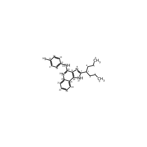 CCCC(CCC)c1nc2c(Nc3ccc(I)cc3)nc3ccccc3c2[nH]1